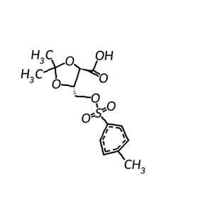 Cc1ccc(S(=O)(=O)OC[C@@H]2OC(C)(C)O[C@H]2C(=O)O)cc1